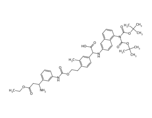 CCOC(=O)CC(N)c1cccc(NC(=O)OCCc2ccc(C(Nc3ccc4c(N(C(=O)OC(C)(C)C)C(=O)OC(C)(C)C)cccc4c3)C(=O)O)cc2C)c1